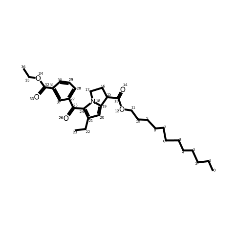 CCCCCCCCCCCCOC(=O)C1CCn2c1cc(CC)c2C(=O)c1cccc(C(=O)OCC)c1